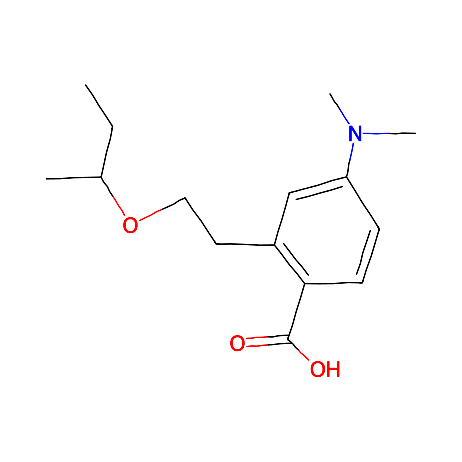 CCC(C)OCCc1cc(N(C)C)ccc1C(=O)O